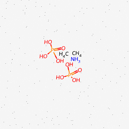 C.C.N.O=P(O)(O)O.O=P(O)(O)O